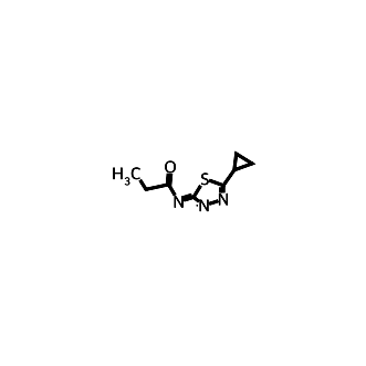 CCC(=O)N=C1[N]N=C(C2CC2)S1